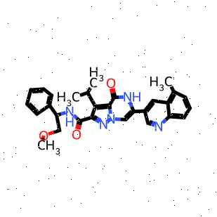 COCC(NC(=O)c1nn2cc(-c3cnc4cccc(C)c4c3)[nH]c(=O)c2c1C(C)C)c1ccccc1